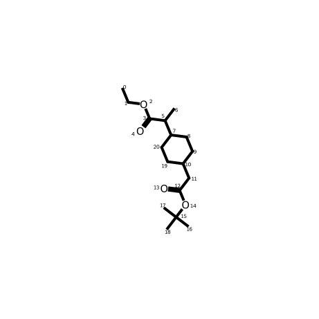 CCOC(=O)C(C)C1CCC(CC(=O)OC(C)(C)C)CC1